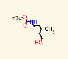 CCCCOC(=O)NCC[C@H](C)CCO